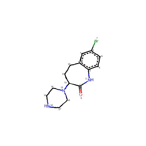 O=C1Nc2ccc(Br)cc2CCC1N1CCNCC1